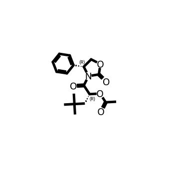 CC(=O)O[C@H](CC(C)(C)C)C(=O)N1C(=O)OC[C@H]1c1ccccc1